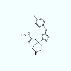 O=C(CC1(c2cc(Oc3ccc(F)cc3)cs2)CCNCC1)NO